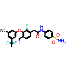 CC(F)(F)c1cc(C#N)cc(Oc2c(CI)ccc(CC(=O)Nc3ccc(S(N)(=O)=O)cc3)c2F)c1